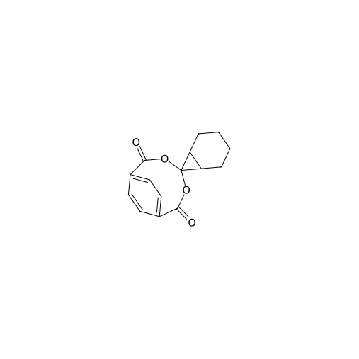 O=C1OC2(OC(=O)c3ccc1cc3)C1CCCCC12